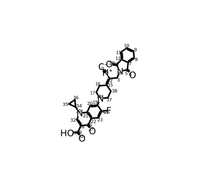 [C-]#[N+]C(CN1C(=O)c2ccccc2C1=O)=C1CCN(c2cc3c(cc2F)c(=O)c(C(=O)O)cn3C2CC2)CC1